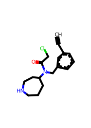 C#Cc1cccc(CN(C(=O)CCl)C2CCCNCC2)c1